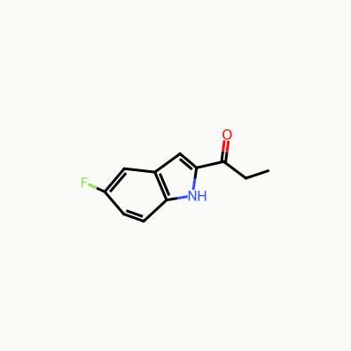 CCC(=O)c1cc2cc(F)ccc2[nH]1